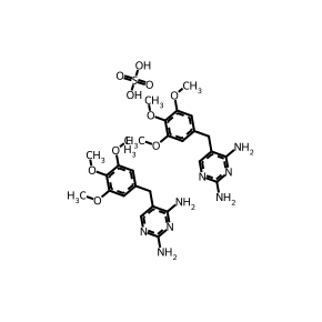 COc1cc(Cc2cnc(N)nc2N)cc(OC)c1OC.COc1cc(Cc2cnc(N)nc2N)cc(OC)c1OC.O=S(=O)(O)O